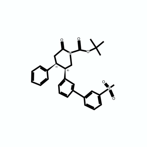 CC(C)(C)OC(=O)N1C[C@@H](c2cccc(-c3cccc(S(C)(=O)=O)c3)c2)[C@@H](c2ccccc2)CC1=O